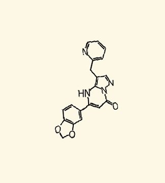 O=c1cc(-c2ccc3c(c2)OCO3)[nH]c2c(Cc3ccccn3)cnn12